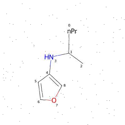 CCCC(C)Nc1ccoc1